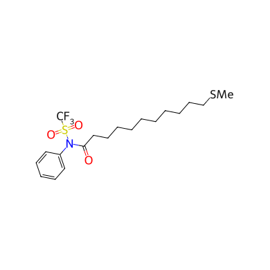 CSCCCCCCCCCCC(=O)N(c1ccccc1)S(=O)(=O)C(F)(F)F